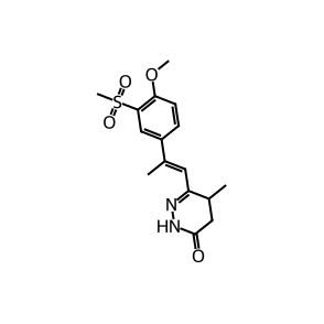 COc1ccc(C(C)=CC2=NNC(=O)CC2C)cc1S(C)(=O)=O